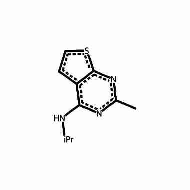 Cc1nc(NC(C)C)c2ccsc2n1